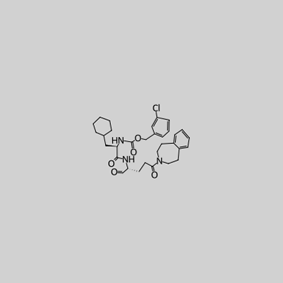 O=C[C@@H](CCC(=O)N1CCc2ccccc2CC1)NC(=O)[C@@H](CC1CCCCC1)NC(=O)OCc1cccc(Cl)c1